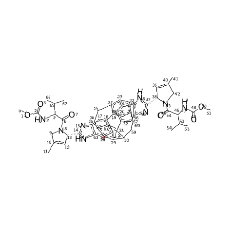 COC(=O)NC(C(=O)N1CC(C)=C[C@H]1c1nc2cc(-c3cc4ccc3CCc3ccc(c(-c5ccc6[nH]c([C@@H]7C=C(C)CN7C(=O)C(NC(=O)OC)C(C)C)nc6c5)c3)CC4)ccc2[nH]1)C(C)C